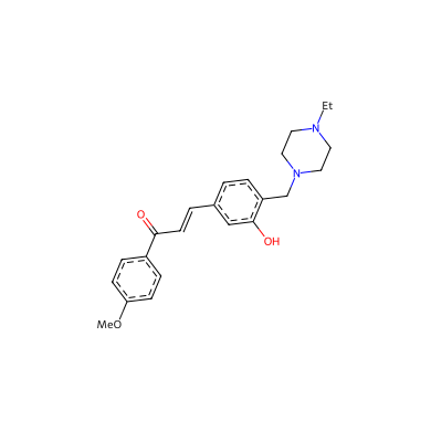 CCN1CCN(Cc2ccc(/C=C/C(=O)c3ccc(OC)cc3)cc2O)CC1